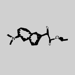 CCOC(=O)C(=O)c1ccc2cc(N(C)C)ccc2c1